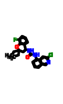 CCC1(CC)C[C@@H](NC(=O)Nc2cccc3cnc(Cl)cc23)c2cccc(F)c2O1